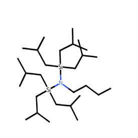 CCCCN([Si](CC(C)C)(CC(C)C)CC(C)C)[Si](CC(C)C)(CC(C)C)CC(C)C